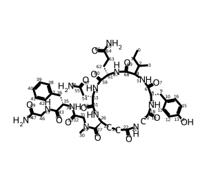 CCC(C)C1NC(=O)[C@H](Cc2ccc(O)cc2)NC(=O)CNC(=O)CC[C@@H](C(=O)N(C)CC(=O)N[C@@H](Cc2ccccc2)C(=O)NCC(N)=O)NC(=O)[C@H](CC(N)=O)NC(=O)[C@H](CCC(N)=O)NC1=O